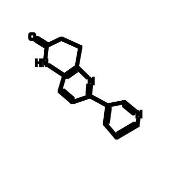 O=C1CCc2nc(-c3cccnc3)ccc2N1